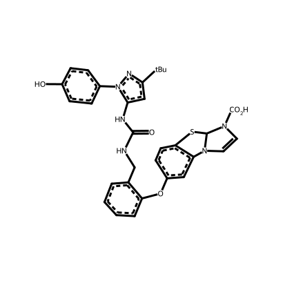 CC(C)(C)c1cc(NC(=O)NCc2ccccc2Oc2ccc3c(c2)N2C=CN(C(=O)O)C2S3)n(-c2ccc(O)cc2)n1